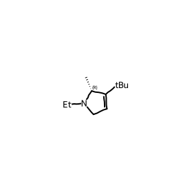 CCN1CC=C(C(C)(C)C)[C@H]1C